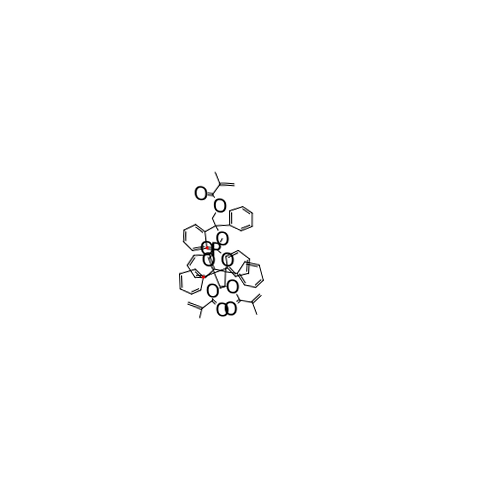 C=C(C)C(=O)OCC(OP(=O)(OC(COC(=O)C(=C)C)(c1ccccc1)c1ccccc1)OC(COC(=O)C(=C)C)(c1ccccc1)c1ccccc1)(c1ccccc1)c1ccccc1